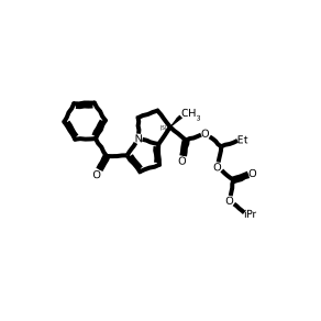 CCC(OC(=O)OC(C)C)OC(=O)[C@@]1(C)CCn2c(C(=O)c3ccccc3)ccc21